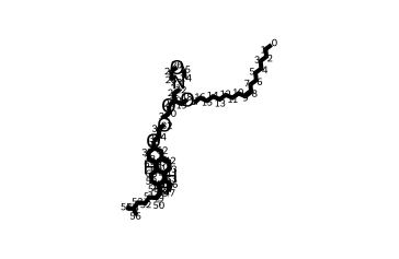 CCCCCCCC/C=C\CCCCCCCCOCC(CCN1CCOCC1)OCCOCCOC1CC[C@@]2(C)C(=CC[C@H]3[C@@H]4CC[C@H]([C@H](C)CCCC(C)C)[C@@]4(C)CC[C@@H]32)C1